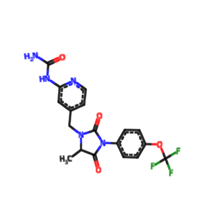 CC1C(=O)N(c2ccc(OC(F)(F)F)cc2)C(=O)N1Cc1ccnc(NC(N)=O)c1